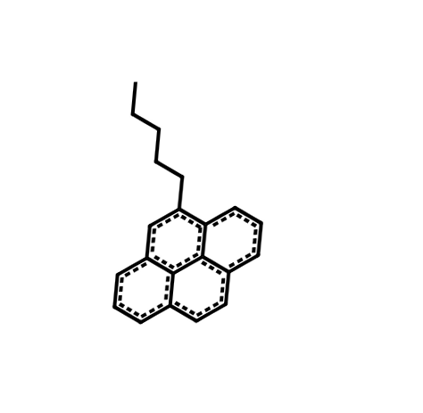 CCCCCc1cc2cccc3ccc4cccc1c4c32